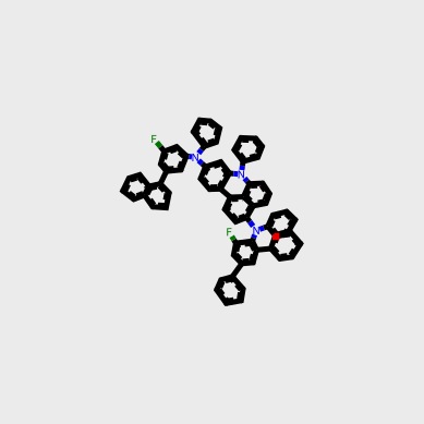 Fc1cc(-c2cccc3ccccc23)cc(N(c2ccccc2)c2ccc3c(c2)N(c2ccccc2)c2cccc4c(N(c5ccccc5)c5c(F)cc(-c6ccccc6)cc5-c5ccccc5)ccc-3c24)c1